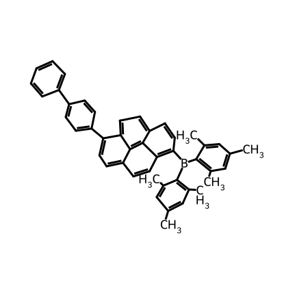 Cc1cc(C)c(B(c2c(C)cc(C)cc2C)c2ccc3ccc4c(-c5ccc(-c6ccccc6)cc5)ccc5ccc2c3c54)c(C)c1